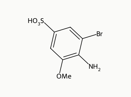 COc1cc(S(=O)(=O)O)cc(Br)c1N